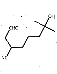 CC(C)(O)CCCC(C#N)CC=O